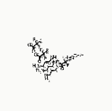 NCCCN.NCCCN.NCCCN.O.O=C([O-])C(F)(F)F.O=C([O-])C(F)(F)F.O=C([O-])C(F)(F)F.[Co+3]